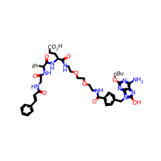 CCCCOc1nc(N)c2nc(O)n(Cc3ccc(C(=O)NCCOCCOCCNC(=O)C(CCC(=O)O)NC(=O)C(NC(=O)CNC(=O)C=Cc4ccccc4)C(C)C)cc3)c2n1